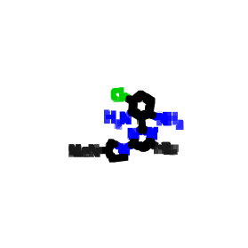 CCCCc1cc(N2CCC(NC)C2)nc(-c2c(N)ccc(Cl)c2N)n1